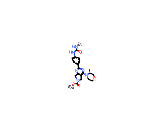 CCNC(=O)Nc1ccc(-c2nc3c(c(N4CCOC[C@@H]4C)n2)CN(C(=O)OC(C)(C)C)C3)cc1